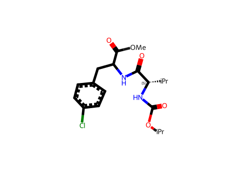 COC(=O)C(Cc1ccc(Cl)cc1)NC(=O)[C@@H](NC(=O)OC(C)C)C(C)C